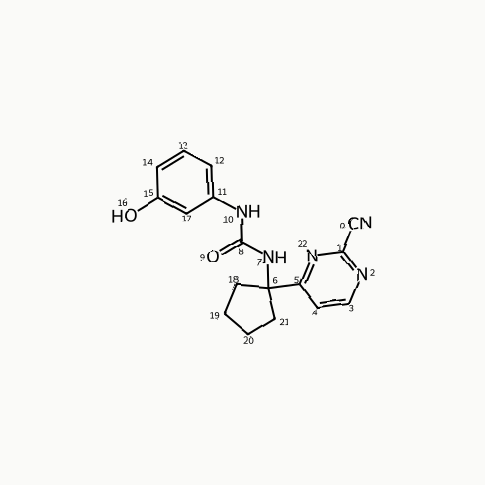 N#Cc1nccc(C2(NC(=O)Nc3cccc(O)c3)CCCC2)n1